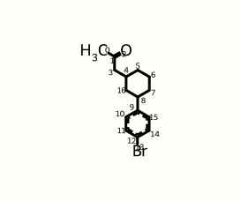 CC(=O)CC1CCCC(c2ccc(Br)cc2)C1